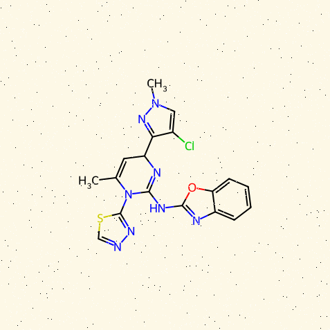 CC1=CC(c2nn(C)cc2Cl)N=C(Nc2nc3ccccc3o2)N1c1nncs1